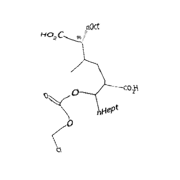 CCCCCCCC[C@@H](C(=O)O)C(C)CC(C(=O)O)C(CCCCCCC)OC(=O)OCCl